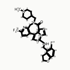 CN1CCC(CN2Cc3nc(C(F)(F)F)ccc3-c3cnc(NCc4c(F)ccc5c4CCO5)n4cnc(c34)C2=O)CC1